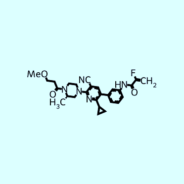 C=C(F)C(=O)Nc1cccc(-c2cc(C#N)c(N3CCN(C(=O)CCOC)[C@H](C)C3)nc2C2CC2)c1